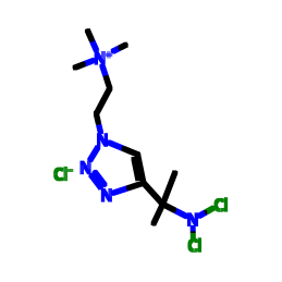 CC(C)(c1cn(CC[N+](C)(C)C)nn1)N(Cl)Cl.[Cl-]